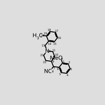 COc1ccccc1C(C#N)C1CCN(Cc2ccccc2C)CC1